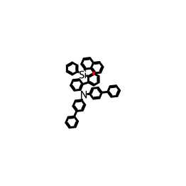 c1ccc(-c2ccc(N(c3ccc(-c4ccccc4)cc3)c3cccc4c3-c3ccccc3[Si]4(c3ccccc3)c3cccc4ccccc34)cc2)cc1